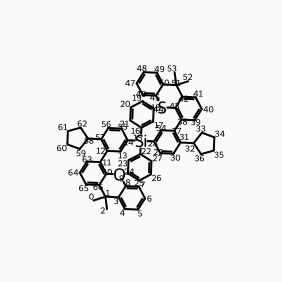 CC1(C)c2ccccc2Oc2c(-c3cc([Si](c4ccccc4)(c4ccccc4)c4ccc(C5CCCC5)c(-c5cccc6c5Sc5ccccc5C6(C)C)c4)ccc3C3CCCC3)cccc21